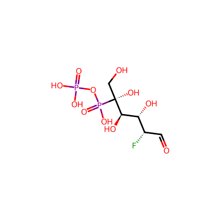 O=C[C@H](F)[C@@H](O)[C@@H](O)[C@](O)(CO)P(=O)(O)OP(=O)(O)O